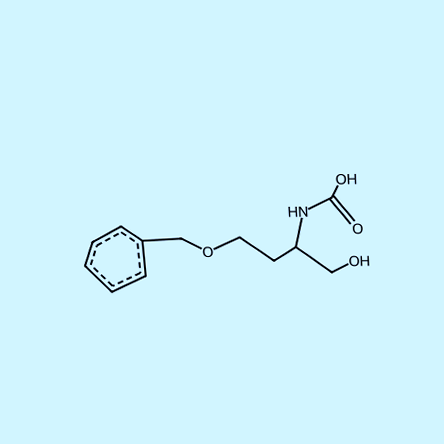 O=C(O)NC(CO)CCOCc1ccccc1